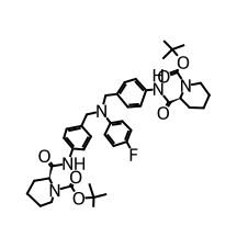 CC(C)(C)OC(=O)N1CCCC[C@H]1C(=O)Nc1ccc(CN(Cc2ccc(NC(=O)[C@@H]3CCCCN3C(=O)OC(C)(C)C)cc2)c2ccc(F)cc2)cc1